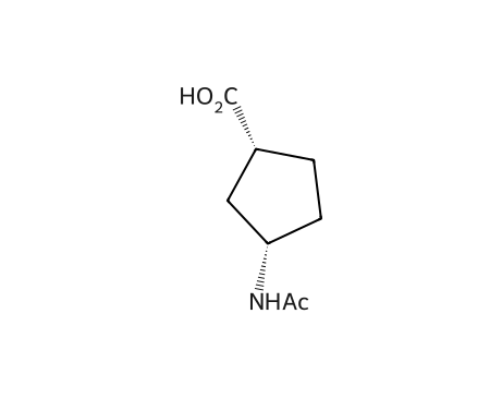 CC(=O)N[C@H]1CC[C@@H](C(=O)O)C1